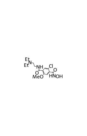 CCN(CC)CCNC(=O)c1cc(Cl)c(C(=O)NO)cc1OC